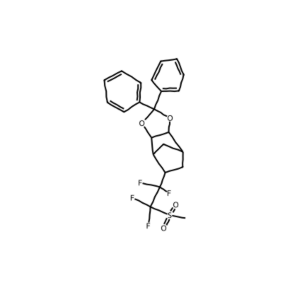 CS(=O)(=O)C(F)(F)C(F)(F)C1CC2CC1C1OC(c3ccccc3)(c3ccccc3)OC21